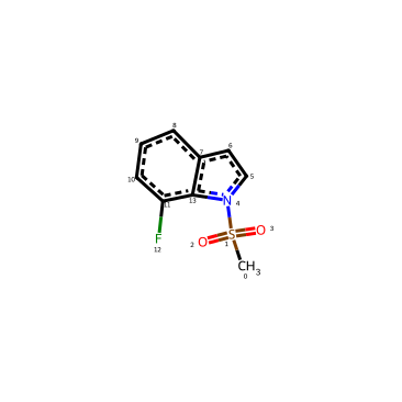 CS(=O)(=O)n1ccc2cccc(F)c21